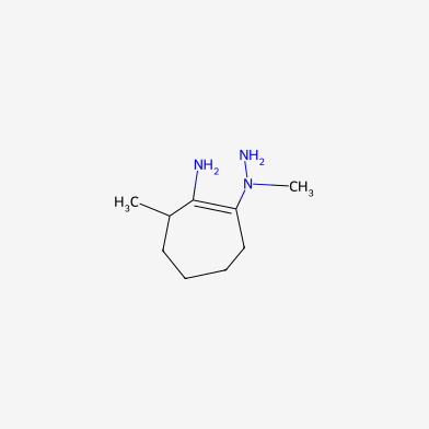 CC1CCCCC(N(C)N)=C1N